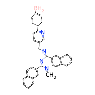 BC1=CCC(c2ccc(C/N=C(\N=C(/N=C)c3ccc4ccccc4c3)c3ccc4ccccc4c3)cn2)C=C1